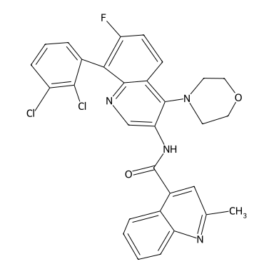 Cc1cc(C(=O)Nc2cnc3c(-c4cccc(Cl)c4Cl)c(F)ccc3c2N2CCOCC2)c2ccccc2n1